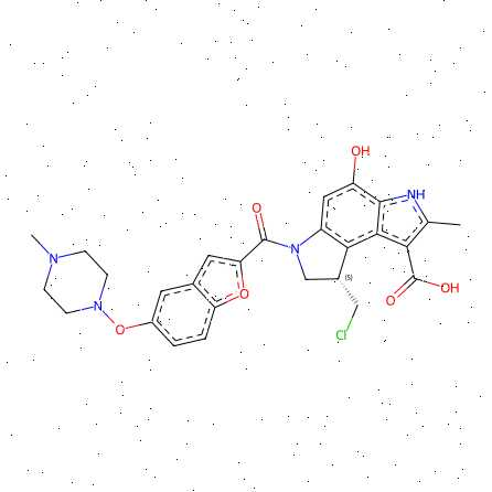 Cc1[nH]c2c(O)cc3c(c2c1C(=O)O)[C@H](CCl)CN3C(=O)c1cc2cc(ON3CCN(C)CC3)ccc2o1